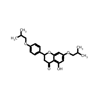 CC(C)COc1ccc(C2CC(=O)c3c(O)cc(OCC(C)C)cc3O2)cc1